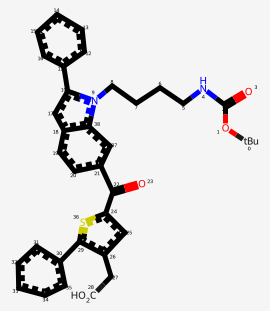 CC(C)(C)OC(=O)NCCCCn1c(-c2ccccc2)cc2ccc(C(=O)c3cc(CC(=O)O)c(-c4ccccc4)s3)cc21